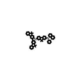 CC1(C)c2cc(N(c3ccccc3)c3cccc4ccccc34)ccc2-c2ccc(-n3c4cc5c(cc4c4cc6c(cc43)C(C)(C)c3ccccc3-6)-c3ccccc3C5(C)C)cc21